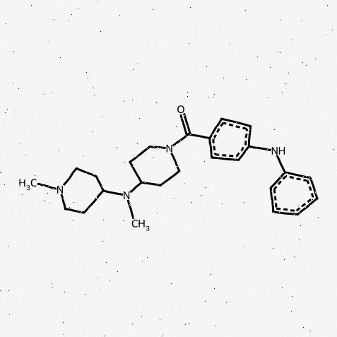 CN1CCC(N(C)C2CCN(C(=O)c3ccc(Nc4ccccc4)cc3)CC2)CC1